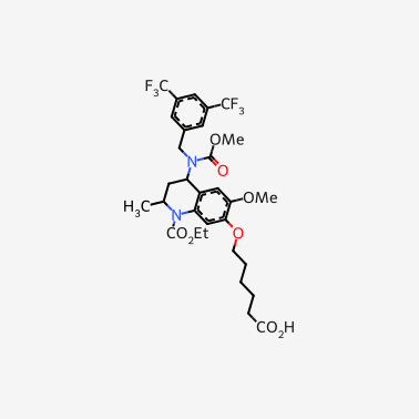 CCOC(=O)N1c2cc(OCCCCCC(=O)O)c(OC)cc2C(N(Cc2cc(C(F)(F)F)cc(C(F)(F)F)c2)C(=O)OC)CC1C